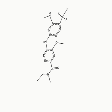 CCN(C)C(=O)c1ccc(Nc2ncc(C(F)(F)F)c(NC)n2)c(OC)c1